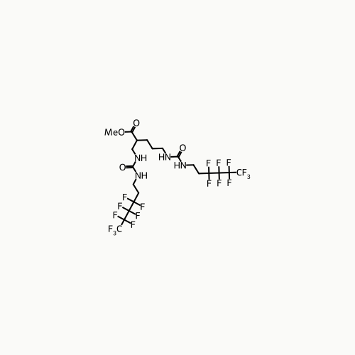 COC(=O)C(CCCNC(=O)NCCC(F)(F)C(F)(F)C(F)(F)C(F)(F)F)CNC(=O)NCCC(F)(F)C(F)(F)C(F)(F)C(F)(F)F